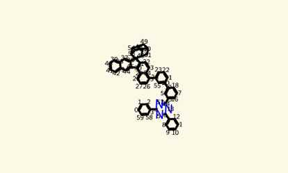 c1ccc(-c2nc(-c3ccccc3)nc(-c3cccc(-c4cccc(-c5cccc6c7c(ccc56)C5(c6cc8ccccc8cc6-7)C6CC7CC(C6)CC5C7)c4)c3)n2)cc1